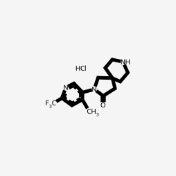 Cc1cc(C(F)(F)F)ncc1N1CC2(CCNCC2)CC1=O.Cl